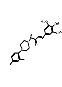 COc1cc(C=CC(=O)NN2CCN(c3ccc(C)cc3C)CC2)cc(OC)c1O